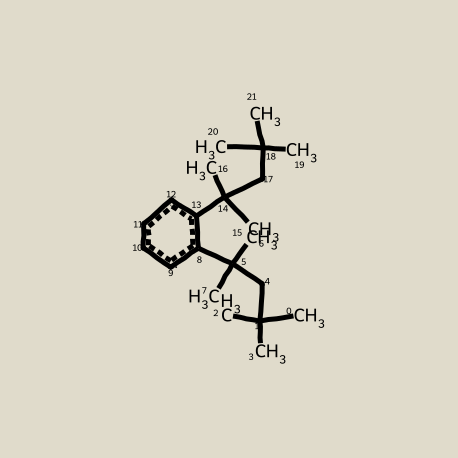 CC(C)(C)CC(C)(C)c1[c]cccc1C(C)(C)CC(C)(C)C